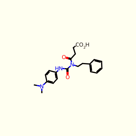 CN(C)c1ccc(NC(=O)N(CCc2ccccc2)C(=O)CCC(=O)O)cc1